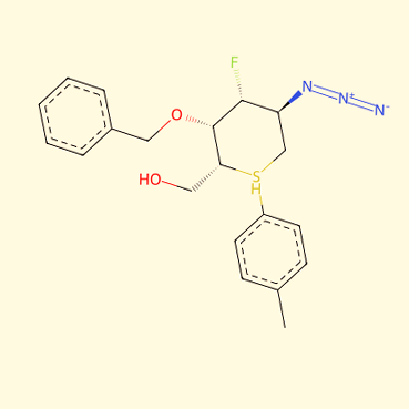 Cc1ccc([SH]2C[C@H](N=[N+]=[N-])[C@@H](F)[C@@H](OCc3ccccc3)[C@H]2CO)cc1